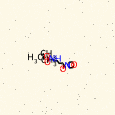 CC(C)(C)OC(=O)NCCCCC(=O)N1CCOCC1